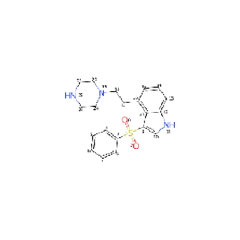 O=S(=O)(c1ccccc1)c1c[nH]c2cccc(CCN3CCNCC3)c12